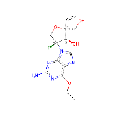 C=C[C@]1(CO)OC[C@@](F)(n2cnc3c(OCC)nc(N)nc32)[C@@H]1O